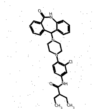 CCC(CC)C(=O)Nc1ccc(N2CCN(C3c4ccccc4NC(=O)c4ccccc43)CC2)c(Cl)c1